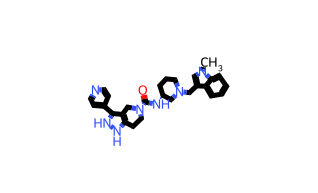 Cn1cc(CN2CCC[C@@H](NC(=O)N3CCC4=C(C3)C(c3ccncc3)NN4)C2)c2ccccc21